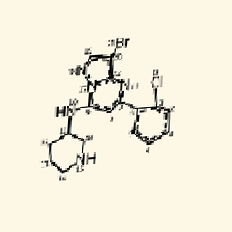 Clc1ccccc1-c1cc(NC2CCCNC2)n2ncc(Br)c2n1